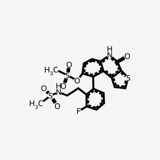 CS(=O)(=O)NCCc1c(F)cccc1-c1c(OS(C)(=O)=O)ccc2[nH]c(=O)c3sccc3c12